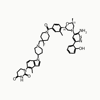 Cc1cc(C(=O)N2CCC(F)(CN3CCC(n4ccc5c(C)c(N6CCC(=O)NC6=O)ccc54)CC3)CC2)ccc1[C@@H]1CN(c2cc(-c3ccccc3O)nnc2N)C[C@H](C)O1